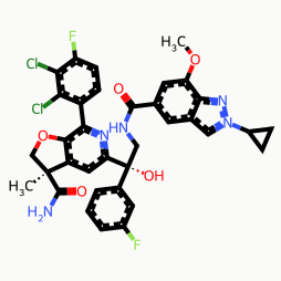 COc1cc(C(=O)NC[C@@](O)(c2cccc(F)c2)c2cc3c(c(-c4ccc(F)c(Cl)c4Cl)n2)OC[C@]3(C)C(N)=O)cc2cn(C3CC3)nc12